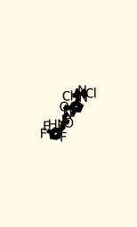 O=C(CN1Cc2ccc(-c3nc(Cl)ncc3Cl)cc2C1=O)NCc1cc(C(F)F)ccc1F